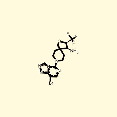 N[C@@H]1[C@H](C(F)(F)F)OCC12CCN(c1ncc(Br)c3nncn13)CC2